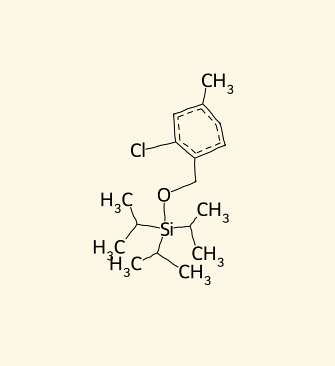 Cc1ccc(CO[Si](C(C)C)(C(C)C)C(C)C)c(Cl)c1